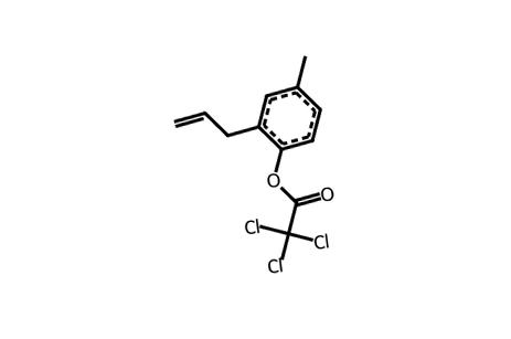 C=CCc1cc(C)ccc1OC(=O)C(Cl)(Cl)Cl